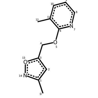 Cc1cc(COc2ncccc2C)on1